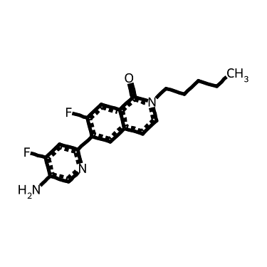 CCCCCn1ccc2cc(-c3cc(F)c(N)cn3)c(F)cc2c1=O